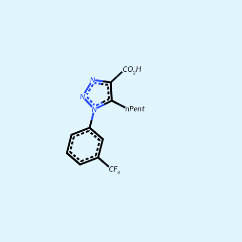 CCCCCc1c(C(=O)O)nnn1-c1cccc(C(F)(F)F)c1